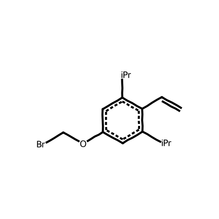 C=Cc1c(C(C)C)cc(OCBr)cc1C(C)C